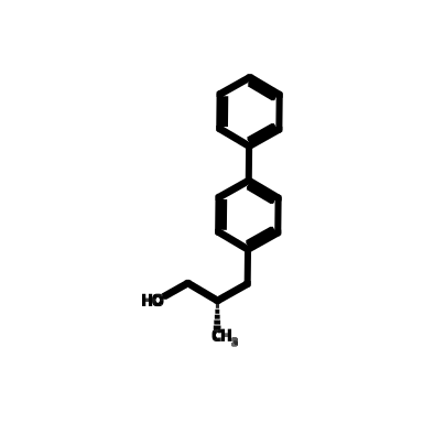 C[C@H](CO)Cc1ccc(-c2ccccc2)cc1